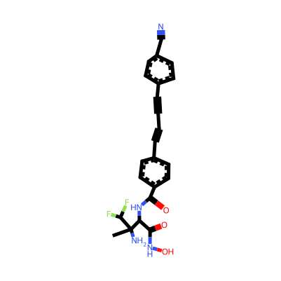 CC(N)(C(F)F)C(NC(=O)c1ccc(C#CC#Cc2ccc(C#N)cc2)cc1)C(=O)NO